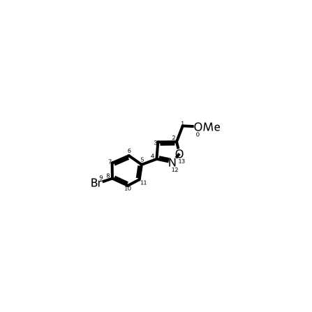 COCc1cc(-c2ccc(Br)cc2)no1